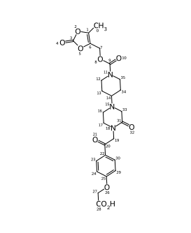 Cc1oc(=O)oc1COC(=O)N1CCC(N2CCN(CC(=O)c3ccc(OCC(=O)O)cc3)C(=O)C2)CC1